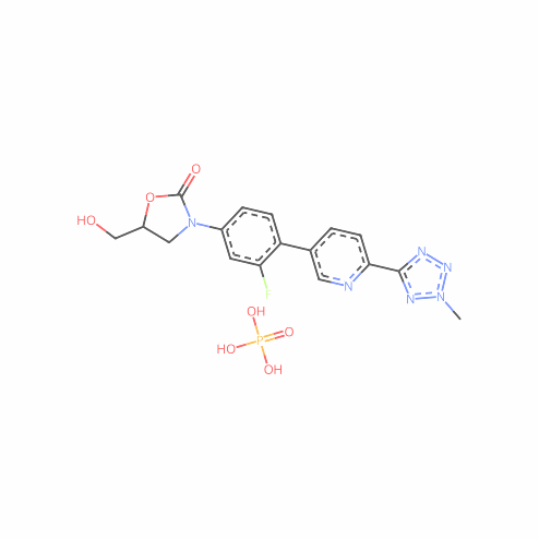 Cn1nnc(-c2ccc(-c3ccc(N4CC(CO)OC4=O)cc3F)cn2)n1.O=P(O)(O)O